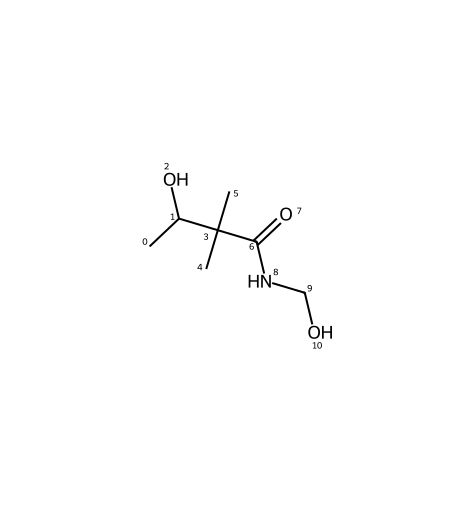 CC(O)C(C)(C)C(=O)NCO